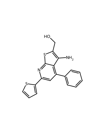 Nc1c(CO)sc2nc(-c3cccs3)cc(-c3ccccc3)c12